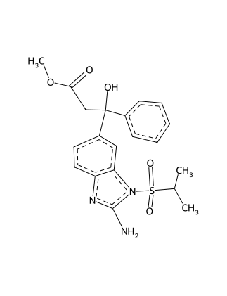 COC(=O)CC(O)(c1ccccc1)c1ccc2nc(N)n(S(=O)(=O)C(C)C)c2c1